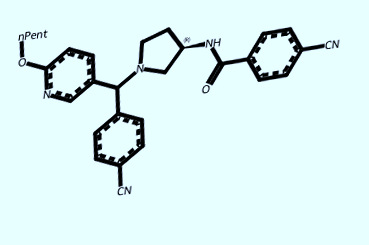 CCCCCOc1ccc(C(c2ccc(C#N)cc2)N2CC[C@@H](NC(=O)c3ccc(C#N)cc3)C2)cn1